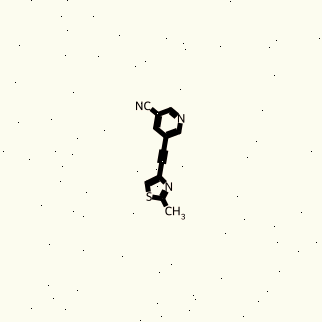 Cc1nc(C#Cc2cncc(C#N)c2)cs1